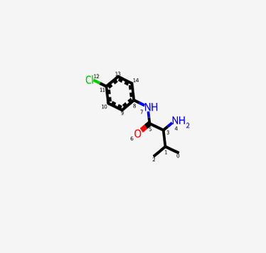 CC(C)C(N)C(=O)Nc1ccc(Cl)cc1